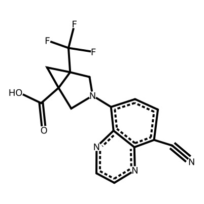 N#Cc1ccc(N2CC3(C(=O)O)CC3(C(F)(F)F)C2)c2nccnc12